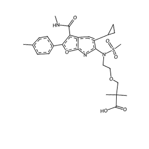 CNC(=O)c1c(-c2ccc(C)cc2)oc2nc(N(CCOCC(C)(C)C(=O)O)S(C)(=O)=O)c(C3CC3)cc12